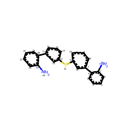 Nc1ccccc1-c1cccc(Sc2cccc(-c3ccccc3N)c2)c1